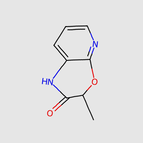 CC1Oc2ncccc2NC1=O